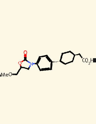 COCC1CN(c2ccc([C@H]3CC[C@H](CC(=O)O)CC3)cc2)C(=O)O1